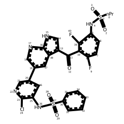 CCCS(=O)(=O)Nc1ccc(F)c(C(=O)c2c[nH]c3ncc(-c4cnc(Cl)c(NS(=O)(=O)c5ccccc5)c4)cc23)c1F